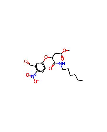 CCCCCCNC(=O)C(CC(=O)OC)Oc1ccc([N+](=O)[O-])c(C=O)c1